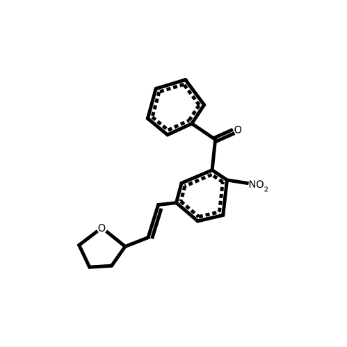 O=C(c1ccccc1)c1cc(/C=C/C2CCCO2)ccc1[N+](=O)[O-]